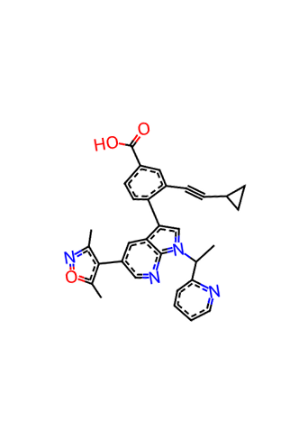 Cc1noc(C)c1-c1cnc2c(c1)c(-c1ccc(C(=O)O)cc1C#CC1CC1)cn2C(C)c1ccccn1